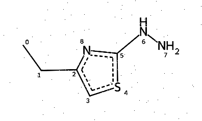 CCc1csc(NN)n1